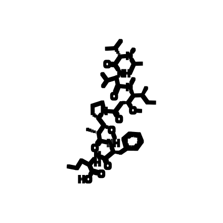 CCCC(NC(=O)[C@H](Cc1ccccc1)NC(=O)[C@H](C)[C@@H](OC)[C@@H]1CCCN1C(=O)C[C@@H](OC)[C@H]([C@@H](C)CC)N(C)C(=O)[C@@H](NC(=O)[C@H](C(C)C)N(C)C(C)C)C(C)C)C(=O)O